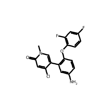 Cn1cc(-c2cc(N)ccc2Oc2ccc(F)cc2F)c(Cl)cc1=O